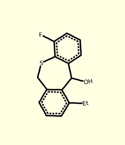 CCc1cccc2c1C(O)c1cccc(F)c1SC2